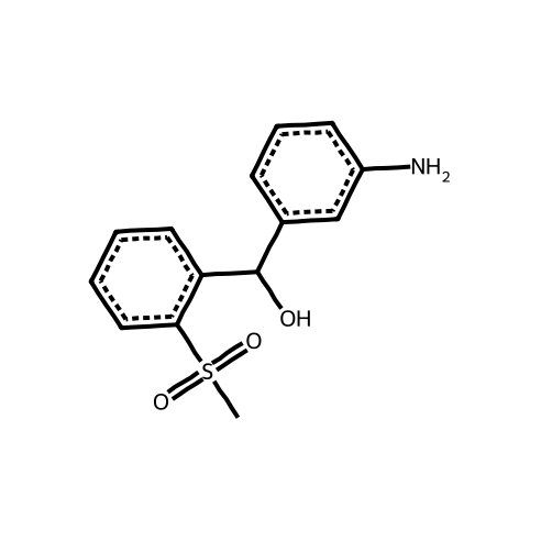 CS(=O)(=O)c1ccccc1C(O)c1cccc(N)c1